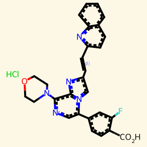 Cl.O=C(O)c1ccc(-c2cnc(N3CCOCC3)c3nc(/C=C/c4ccc5ccccc5n4)cn23)cc1F